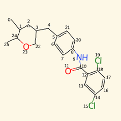 CC1[C]C(Cc2ccc(NC(=O)c3cc(Cl)ccc3Cl)cc2)COC1C